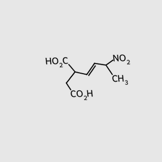 CC(C=CC(CC(=O)O)C(=O)O)[N+](=O)[O-]